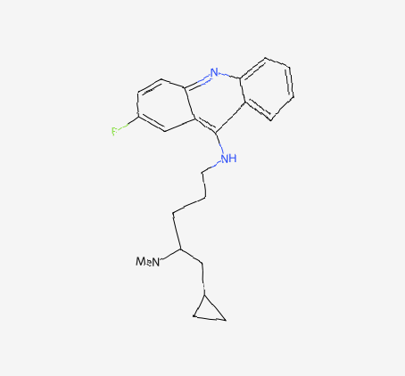 CNC(CCCNc1c2ccccc2nc2ccc(F)cc12)CC1CC1